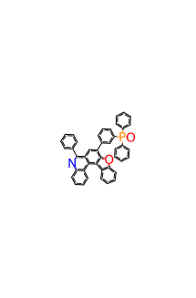 O=P(c1ccccc1)(c1ccccc1)c1cccc(-c2cc3c(-c4ccccc4)nc4ccccc4c3c3c2oc2ccccc23)c1